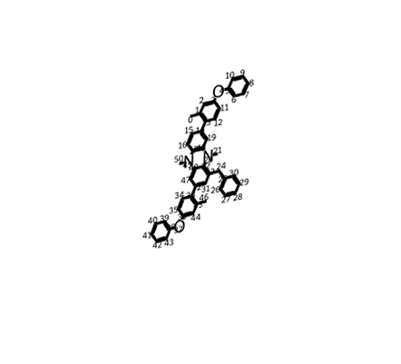 Cc1cc(Oc2ccccc2)ccc1-c1ccc2c(c1)N(C)c1c(Cc3ccccc3)cc(-c3ccc(Oc4ccccc4)cc3C)cc1N2C